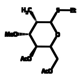 CCSC1OC(COC(C)=O)[C@@H](OC(C)=O)[C@H](OC)[C@@H]1C